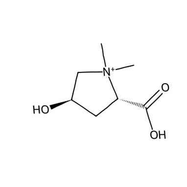 C[N+]1(C)C[C@H](O)C[C@H]1C(=O)O